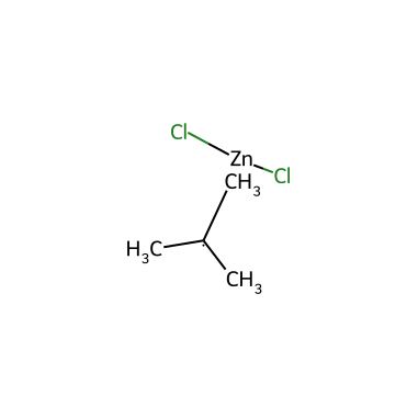 C[C](C)C.[Cl][Zn][Cl]